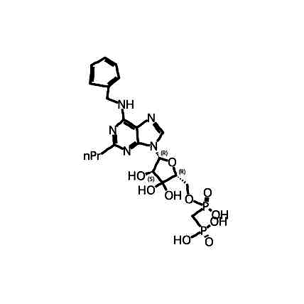 CCCc1nc(NCc2ccccc2)c2ncn([C@@H]3O[C@H](COP(=O)(O)CP(=O)(O)O)C(O)(O)[C@H]3O)c2n1